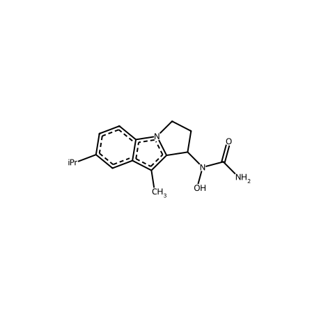 Cc1c2n(c3ccc(C(C)C)cc13)CCC2N(O)C(N)=O